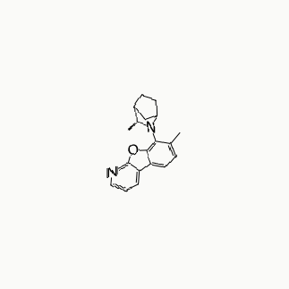 Cc1ccc2c(oc3ncccc32)c1N1C2CCC(C2)[C@@H]1C